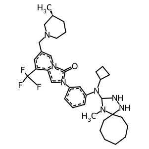 C[C@H]1CCCN(Cc2cc(C(F)(F)F)c3cn(-c4cccc(N(C5CCC5)C5NNC6(CCCCCCC6)N5C)c4)c(=O)n3c2)C1